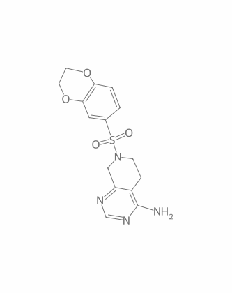 Nc1ncnc2c1CCN(S(=O)(=O)c1ccc3c(c1)OCCO3)C2